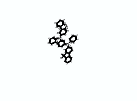 CC1(C)c2ccccc2-c2ccc(N(c3ccccc3)c3ccc4c5ccccc5n(-c5ccc6sc7ccccc7c6c5)c4c3)cc21